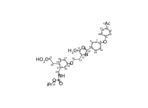 CC(=O)c1ccc(Oc2ccc(-c3nc(CCOc4ccc(CCC(=O)O)c(CNC(=O)OC(C)C)c4)c(C)o3)cc2)cc1